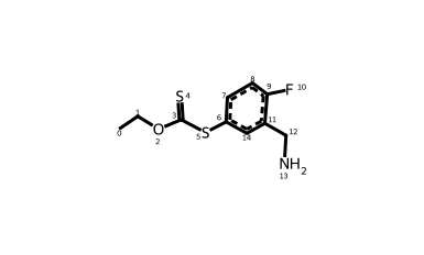 CCOC(=S)Sc1ccc(F)c(CN)c1